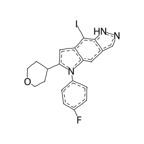 Fc1ccc(-n2c(C3CCOCC3)cc3c(I)c4[nH]ncc4cc32)cc1